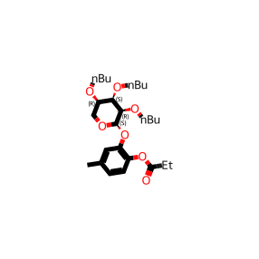 CCCCO[C@@H]1[C@@H](OCCCC)[C@H](Oc2cc(C)ccc2OC(=O)CC)OC[C@H]1OCCCC